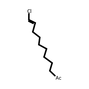 CC(=O)CCCCCCCC=CCl